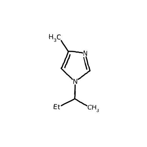 CCC(C)n1cnc(C)c1